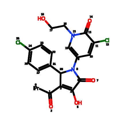 CC(C)C(=O)C1=C(O)C(=O)N(c2cc(Cl)c(=O)n(CCO)c2)C1c1ccc(Cl)cc1